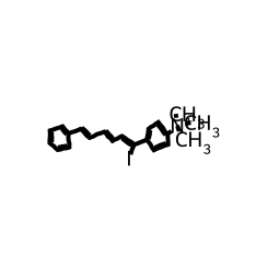 C[N+](C)(C)c1ccc(C(I)=CC=CC=Cc2ccccc2)cc1